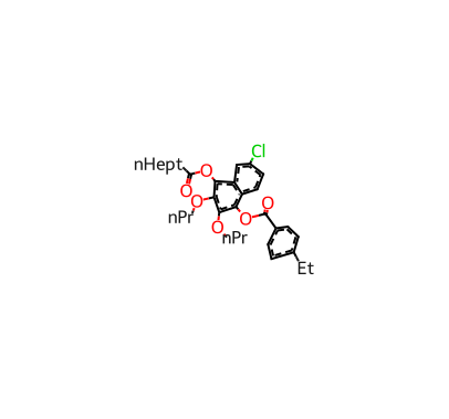 CCCCCCCC(=O)Oc1c(OCCC)c(OCCC)c(OC(=O)c2ccc(CC)cc2)c2ccc(Cl)cc12